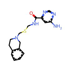 Nc1cc(C(=O)NCSCN2CCc3ccccc3C2)ncn1